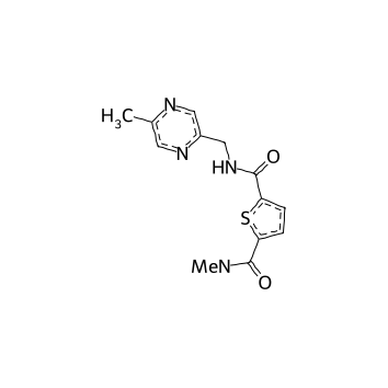 CNC(=O)c1ccc(C(=O)NCc2cnc(C)cn2)s1